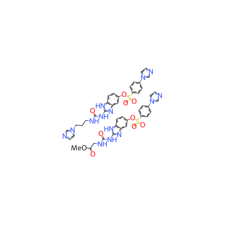 COC(=O)CNC(=O)Nc1nc2cc(OS(=O)(=O)c3ccc(-n4ccnc4)cc3)ccc2[nH]1.O=C(NCCCn1ccnc1)Nc1nc2cc(OS(=O)(=O)c3ccc(-n4ccnc4)cc3)ccc2[nH]1